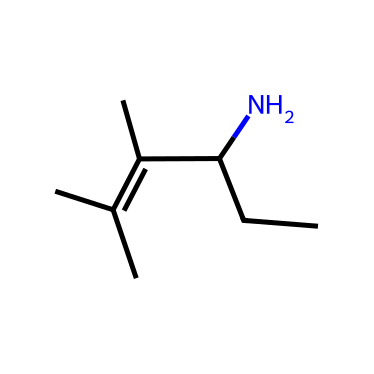 CCC(N)C(C)=C(C)C